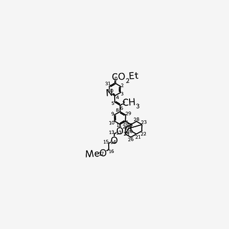 CCOC(=O)c1ccc(C=C(C)c2ccc(OCOCCOC)c(C34CC5CC(CC(C5)C3)C4)c2)nc1